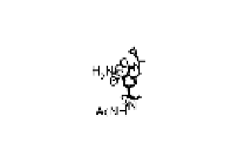 CC(=O)Nc1nc(C)c(-c2cc3c(c(S(N)(=O)=O)c2)C(=O)N(C(C)C2CC2)C3)s1